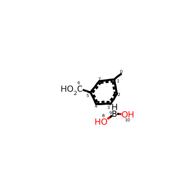 Cc1cccc(C(=O)O)c1.OBO